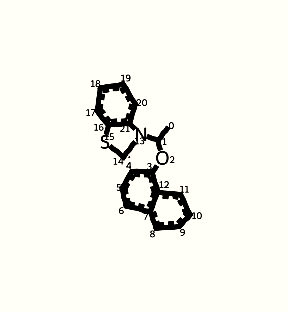 CC(Oc1cccc2ccccc12)N1[CH]Sc2ccccc21